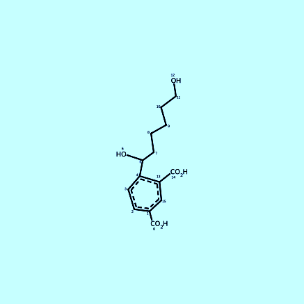 O=C(O)c1ccc(C(O)CCCCCO)c(C(=O)O)c1